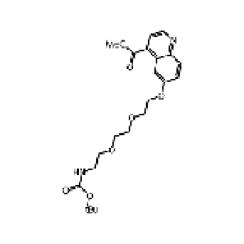 COC(=O)c1ccnc2ccc(OCCOCCOCCNC(=O)OC(C)(C)C)cc12